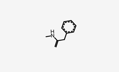 C=C(Cc1ccccc1)NC